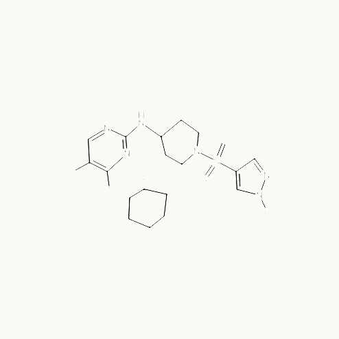 Cc1cnc(NC2CCN(S(=O)(=O)c3cnn(C)c3)CC2)nc1O[C@H]1CCCC[C@H]1O